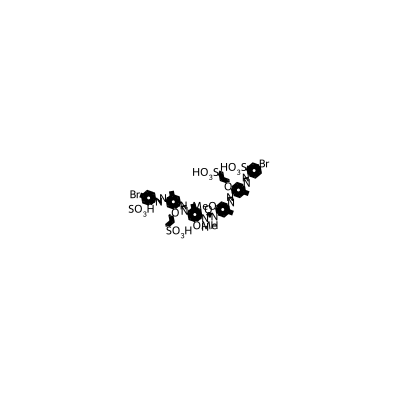 COc1cc(N=Nc2cc(C)c(N=Nc3ccc(Br)cc3S(=O)(=O)O)cc2OCCCS(=O)(=O)O)c(C)cc1NC(=O)Nc1cc(C)c(N=Nc2cc(C)c(N=Nc3ccc(Br)cc3S(=O)(=O)O)cc2OCCCS(=O)(=O)O)cc1OC